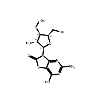 CCCCCCCCO[C@@H]1[C@@H](O)[C@H](n2c(=O)sc3c(O)nc(N)nc32)O[C@@H]1CO